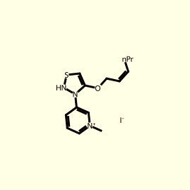 CCC/C=C\COC1=CSNN1c1ccc[n+](C)c1.[I-]